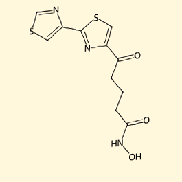 O=C(CCCC(=O)c1csc(-c2cscn2)n1)NO